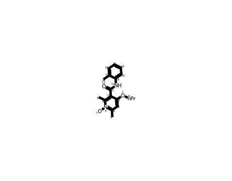 CCCOc1cc(C)[n+]([O-])c(C)c1C(=O)Nc1ccccc1C